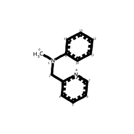 CN(Cc1ccccn1)c1ccccc1